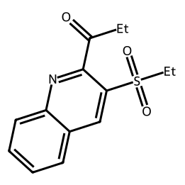 CCC(=O)c1nc2ccccc2cc1S(=O)(=O)CC